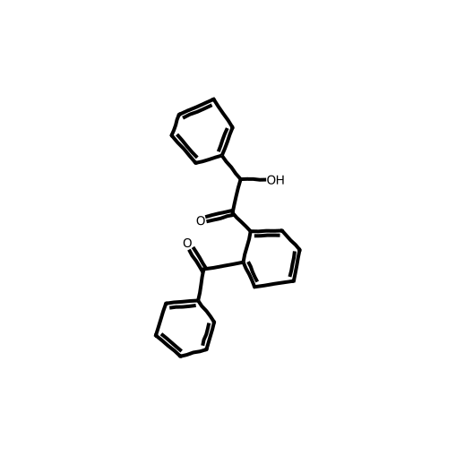 O=C(c1ccccc1)c1ccccc1C(=O)C(O)c1ccccc1